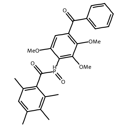 COc1cc(C(=O)c2ccccc2)c(OC)c(OC)c1[PH](=O)C(=O)c1c(C)cc(C)c(C)c1C